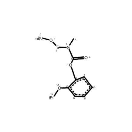 CCCCOSN(C)C(=O)Oc1ccccc1OC(C)C